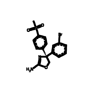 CS(=O)(=O)c1ccc([C@]2(c3cccc(Br)c3)COC(N)=N2)cc1